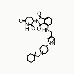 CC1(CN2CCC(n3cc(CNc4cccc5c4C(=O)N(C4CCC(=O)NC4=O)C5=O)cn3)CC2)CCCCC1